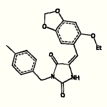 CCOc1cc2c(cc1C=C1NC(=O)N(Cc3ccc(C)cc3)C1=O)OCO2